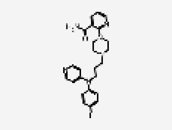 NC(=O)c1cccnc1N1CCN(CCCN(c2ccncc2)c2ccc(F)cc2)CC1